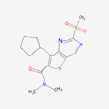 CN(C)C(=O)c1sc2cnc(S(C)(=O)=O)nc2c1C1CCCC1